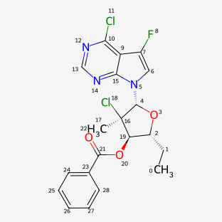 CC[C@H]1O[C@@H](n2cc(F)c3c(Cl)ncnc32)[C@](C)(Cl)[C@@H]1OC(=O)c1ccccc1